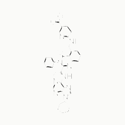 CC[C@H](Nc1ncnc2c1ncn2C1CCCCO1)c1nc2cccc(CNc3ccc(C(=O)OC)cn3)c2c(=O)n1-c1ccccc1